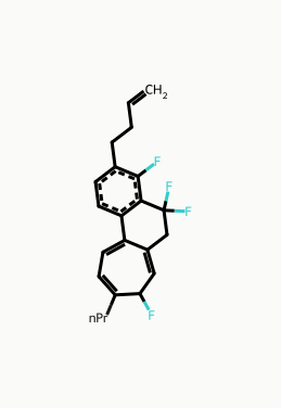 C=CCCc1ccc2c(c1F)C(F)(F)CC1=CC(F)C(CCC)=CC=C12